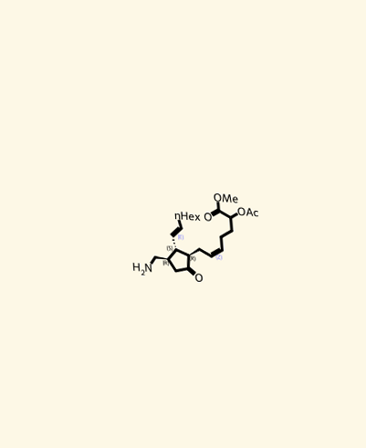 CCCCCC/C=C/[C@H]1[C@H](CN)CC(=O)[C@@H]1C/C=C\CCC(OC(C)=O)C(=O)OC